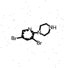 Brc1cnc(N2CCNCC2)c(Br)c1